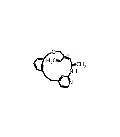 C=C/C1=C\C(=C)Nc2cc(ccn2)CCc2cccc(c2)COC1